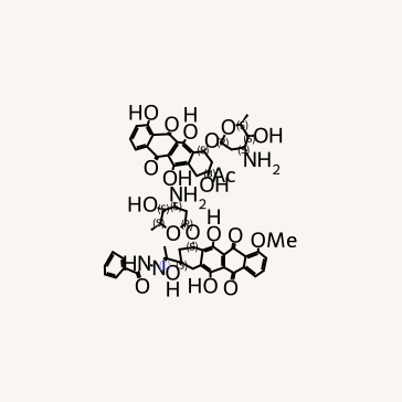 CC(=O)[C@]1(O)Cc2c(O)c3c(c(O)c2[C@@H](O[C@H]2C[C@H](N)[C@H](O)[C@H](C)O2)C1)C(=O)c1c(O)cccc1C3=O.COc1cccc2c1C(=O)c1c(O)c3c(c(O)c1C2=O)C[C@@](O)(/C(C)=N/NC(=O)c1ccccc1)C[C@@H]3O[C@H]1C[C@H](N)[C@H](O)[C@H](C)O1